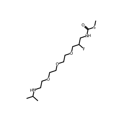 CSC(=O)NCC(F)COCCOCCOCCNC(C)C